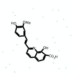 COc1cc(C=Cc2ccc3ccc(C(=O)O)c(O)c3n2)ccc1O